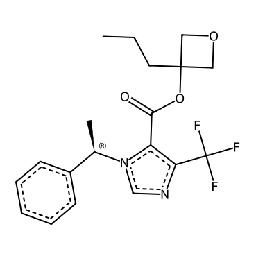 CCCC1(OC(=O)c2c(C(F)(F)F)ncn2[C@H](C)c2ccccc2)COC1